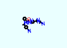 CC(CNC(C(=O)Nc1ccc(-c2cnn(C(C)(C)C#N)c2)cn1)c1ccccc1)c1ccc(C#N)cc1